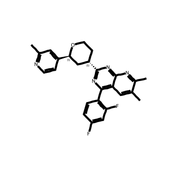 Cc1cc([C@@H]2C[C@@H](c3nc(-c4ccc(F)cc4F)c4cc(C)c(C)nc4n3)CCO2)ccn1